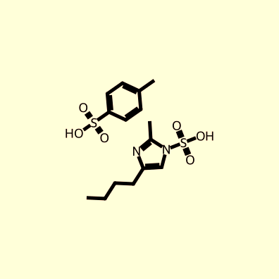 CCCCc1cn(S(=O)(=O)O)c(C)n1.Cc1ccc(S(=O)(=O)O)cc1